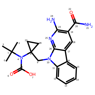 CC(C)(C)N(C(=O)O)C1(Cn2c3ccccc3c3cc(C(N)=O)c(N)nc32)CC1